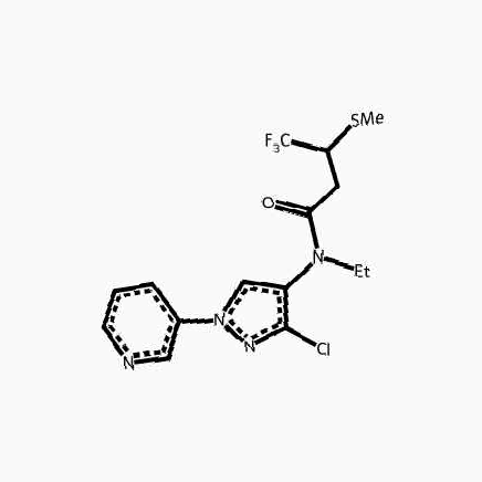 CCN(C(=O)CC(SC)C(F)(F)F)c1cn(-c2cccnc2)nc1Cl